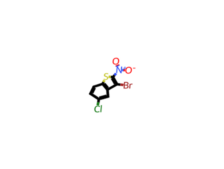 O=[N+]([O-])c1sc2ccc(Cl)cc2c1Br